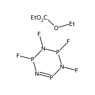 CCOC(=O)OCC.Fn1pnp(F)n(F)p1F